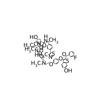 CCN(CCOCC(=O)NC(C(=O)N1CC(O)CC1C(=O)N[C@@H](C)c1ccc(-c2scnc2C)cc1)C(C)(C)C)CCOc1ccc(Oc2c(C(=O)c3cccc(F)c3)sc3cc(O)ccc23)cc1